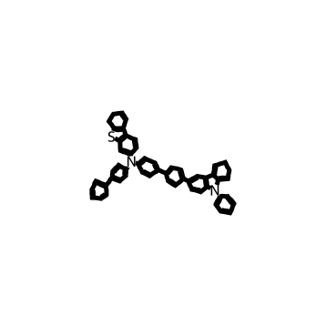 C1=Cc2c(sc3cc(N(c4ccc(-c5ccccc5)cc4)c4ccc(-c5ccc(-c6ccc7c(c6)c6c(n7-c7ccccc7)=CCCC=6)cc5)cc4)ccc23)CC1